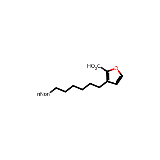 CCCCCCCCCCCCCCCc1ccoc1C(=O)O